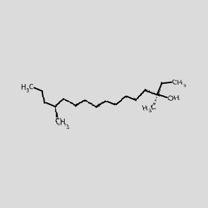 CCC[C@H](C)CCCCCCCCC[C@](C)(O)CC